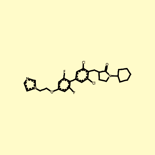 O=C1C(Cc2c(Cl)cc(-c3c(F)cc(OCCn4ccnc4)cc3F)cc2Cl)CCN1C1CCCCC1